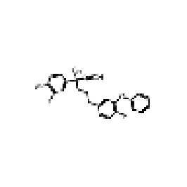 C#CC(C)(CCCc1ccc(F)c(Oc2ccccc2)c1)c1ccc(F)c(F)c1